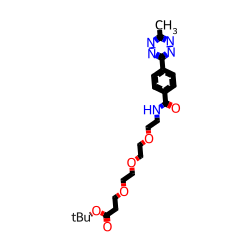 Cc1nnc(-c2ccc(C(=O)NCCOCCOCCOCCC(=O)OC(C)(C)C)cc2)nn1